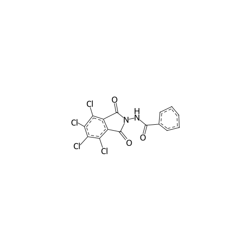 O=C(NN1C(=O)c2c(Cl)c(Cl)c(Cl)c(Cl)c2C1=O)c1ccccc1